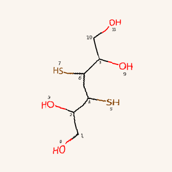 OCC(O)C(S)C(S)C(O)CO